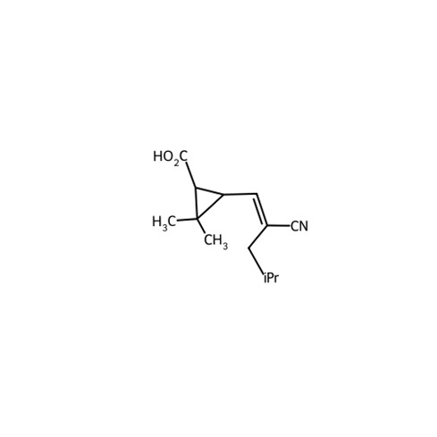 CC(C)CC(C#N)=CC1C(C(=O)O)C1(C)C